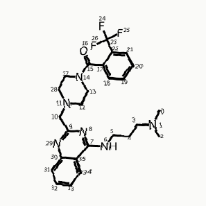 CN(C)CCCNc1nc(CN2CCN(C(=O)c3ccccc3C(F)(F)F)CC2)nc2ccccc12